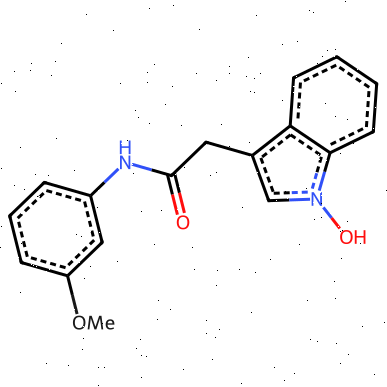 COc1cccc(NC(=O)Cc2cn(O)c3ccccc23)c1